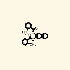 Cc1ccccc1C(=O)OC1C2CC(C1OC(=O)c1ccccc1C)C1C3CCC(C3)C21